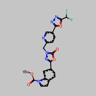 CC(C)(C)OC(=O)n1ccc2ccc(-c3nn(Cc4ccc(-c5nnc(C(F)F)o5)cn4)c(=O)o3)cc21